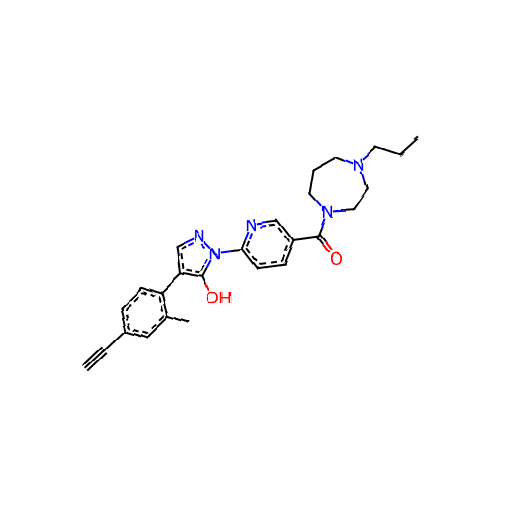 C#Cc1ccc(-c2cnn(-c3ccc(C(=O)N4CCCN(CCC)CC4)cn3)c2O)c(C)c1